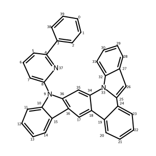 c1ccc(-c2cccc(-n3c4ccccc4c4cc5c6ccccc6c6cc7ccccc7n6c5cc43)n2)cc1